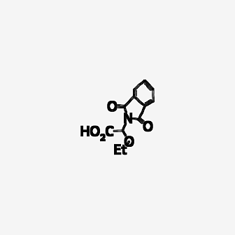 CCOC(C(=O)O)N1C(=O)c2ccccc2C1=O